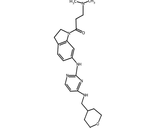 CN(C)CCC(=O)N1CCc2ccc(Nc3nccc(NCC4CCOCC4)n3)cc21